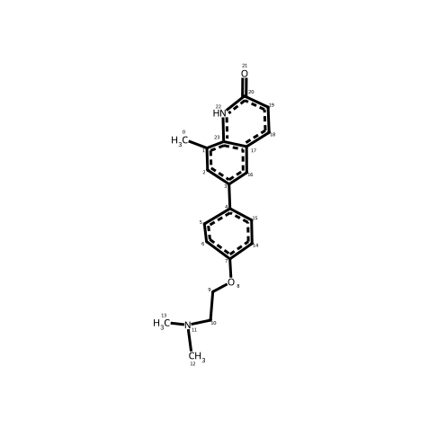 Cc1cc(-c2ccc(OCCN(C)C)cc2)cc2ccc(=O)[nH]c12